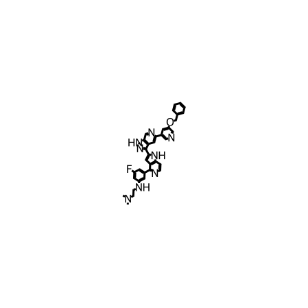 CN(C)CCNc1cc(F)cc(-c2nccc3[nH]c(-c4n[nH]c5cnc(-c6cncc(OCc7ccccc7)c6)cc45)cc23)c1